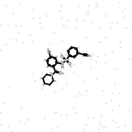 N#Cc1cccc(S(=O)(=O)Nc2cc(Br)ccc2C(=O)N2CCCCC2)c1